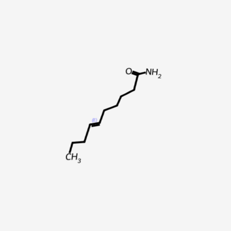 CCC/C=C/CCCCC(N)=O